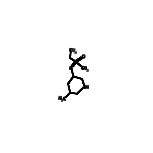 CCS(C)(=O)=NC1CNCC(C)C1